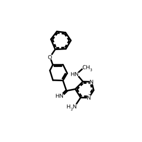 CNc1ncnc(N)c1C(=N)C1=CC=C(Oc2ccccc2)CC1